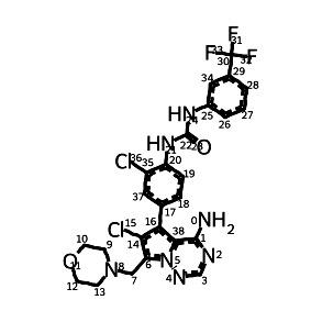 Nc1ncnn2c(CN3CCOCC3)c(Cl)c(-c3ccc(NC(=O)Nc4cccc(C(F)(F)F)c4)c(Cl)c3)c12